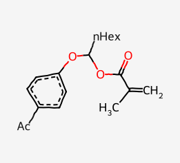 C=C(C)C(=O)OC(CCCCCC)Oc1ccc(C(C)=O)cc1